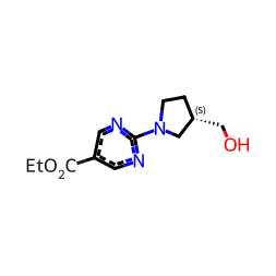 CCOC(=O)c1cnc(N2CC[C@H](CO)C2)nc1